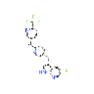 Fc1cnc2[nH]cc(Cc3ccc([CH]c4ccc(C(F)(F)F)nc4)nc3)c2c1